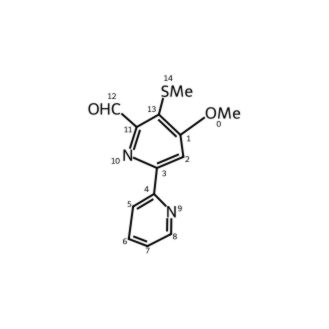 COc1cc(-c2ccccn2)nc(C=O)c1SC